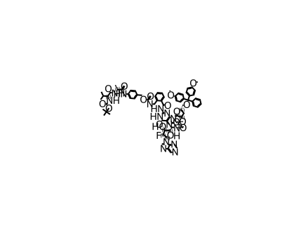 COc1ccc(C(OC[C@@H]2C[C@@H](OS(=O)(=O)NC[C@H]3O[C@@H](n4cnc5cncnc54)[C@H](F)[C@@H]3O)[C@H](n3cnc4c(=O)[nH]c(NC(=O)c5ccccc5CN(C)C(=O)OCc5ccc(NC(=O)[C@H](C)NC(=O)[C@@H](NC(=O)OC(C)(C)C)C(C)C)cc5)nc43)O2)(c2ccccc2)c2ccc(OC)cc2)cc1